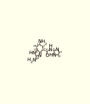 Nc1cc(C(=O)Nc2ncc[nH]2)c2nc(N)[nH]c2c1